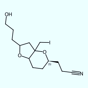 N#CCC[C@H]1CCC2OC(CCCO)CC2(CI)O1